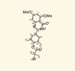 COc1cc(OC)c2c(=O)[nH]c(-c3cc(C)c(OC(=O)C(C)(C)Br)c(C)c3)nc2c1